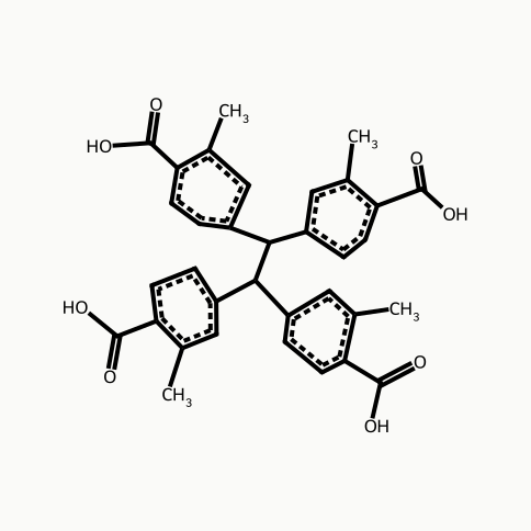 Cc1cc(C(c2ccc(C(=O)O)c(C)c2)C(c2ccc(C(=O)O)c(C)c2)c2ccc(C(=O)O)c(C)c2)ccc1C(=O)O